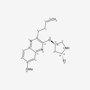 C=CCCc1nc2ccc(OC)cc2nc1O[C@H]1CN[C@H](CC)C1